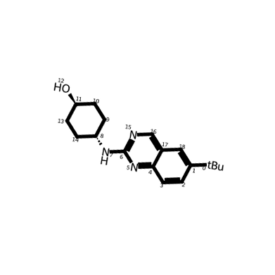 CC(C)(C)c1ccc2nc(N[C@H]3CC[C@H](O)CC3)ncc2c1